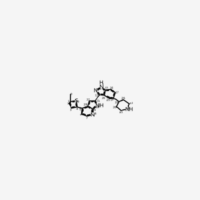 Cc1ccc(-c2ccnc3[nH]c(-c4n[nH]c5ccc(C6CCNCC6)cc45)cc23)s1